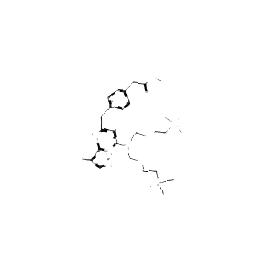 COC(=O)Cc1ccc(Cc2cc(N(COCC[Si](C)(C)C)COCC[Si](C)(C)C)n3ncc(I)c3n2)cc1